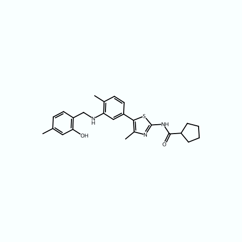 Cc1ccc(CNc2cc(-c3sc(NC(=O)C4CCCC4)nc3C)ccc2C)c(O)c1